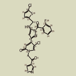 O=C(Cn1cc(Cl)c(-c2cc(NCc3ccc(Cl)s3)n(C(=O)c3ccccc3F)n2)cc1=O)c1cnsc1